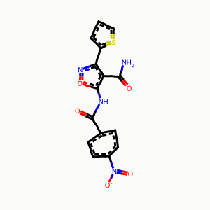 NC(=O)c1c(-c2cccs2)noc1NC(=O)c1ccc([N+](=O)[O-])cc1